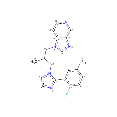 Cc1ccc(F)c(-c2nccn2CC(C)Cn2cnc3cnccc32)c1